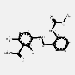 COC(=O)c1c(C)ccc(NCc2ccccc2NC(=O)OC(C)(C)C)c1F